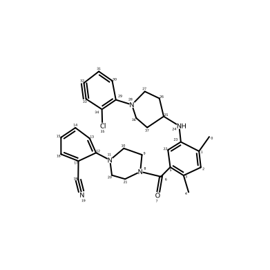 Cc1cc(C)c(C(=O)N2CCN(c3ccccc3C#N)CC2)cc1NC1CCN(c2ccc#cc2Cl)CC1